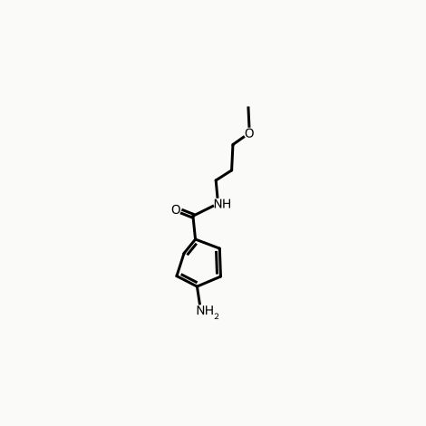 COCCCNC(=O)c1ccc(N)cc1